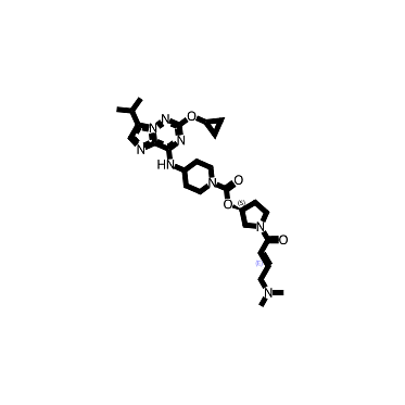 CC(C)c1cnc2c(NC3CCN(C(=O)O[C@H]4CCN(C(=O)/C=C/CN(C)C)C4)CC3)nc(OC3CC3)nn12